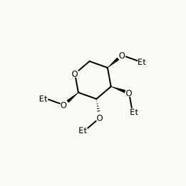 CCO[C@H]1OC[C@@H](OCC)[C@@H](OCC)[C@@H]1OCC